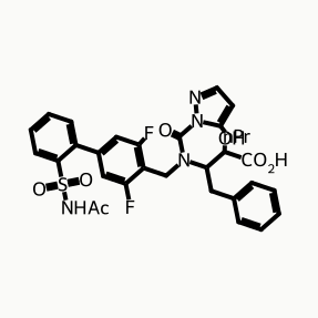 CCCc1ccnn1C(=O)N(Cc1c(F)cc(-c2ccccc2S(=O)(=O)NC(C)=O)cc1F)C(Cc1ccccc1)C(O)C(=O)O